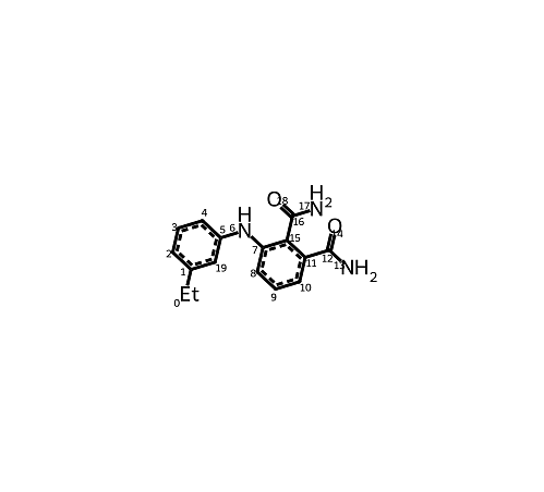 CCc1cccc(Nc2cccc(C(N)=O)c2C(N)=O)c1